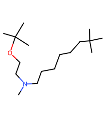 CN(CCCCCCC(C)(C)C)CCOC(C)(C)C